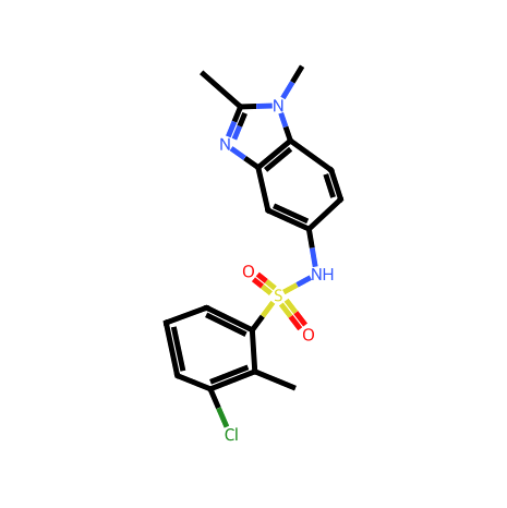 Cc1c(Cl)cccc1S(=O)(=O)Nc1ccc2c(c1)nc(C)n2C